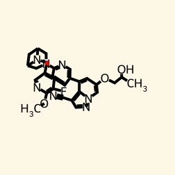 COc1ncc(CN2C3CC2CN(c2ccc(-c4cc(OCC(C)O)cn5ncc(C#N)c45)cn2)C3)cc1F